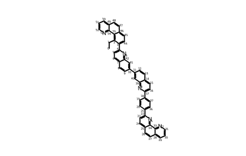 CCc1c(-c2ccc3ccc(-c4ccc5ccc(-c6ccc(-c7ccc8ccc9cccnc9c8n7)cc6)nc5c4)cc3n2)ccc2ccc3cccnc3c12